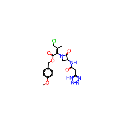 COc1ccc(COC(=O)C(=C(C)CCl)N2CC(NC(=O)Cc3nnn[nH]3)C2=O)cc1